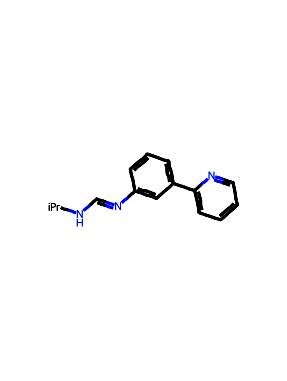 CC(C)N/C=N/c1cccc(-c2ccccn2)c1